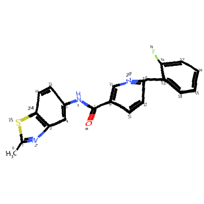 Cc1nc2cc(NC(=O)c3ccc(-c4ccccc4F)nc3)ccc2s1